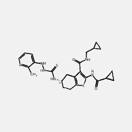 Cc1ncccc1NNC(=S)N[C@H]1CCc2sc(NC(=O)C3CC3)c(C(=O)NCC3CC3)c2C1